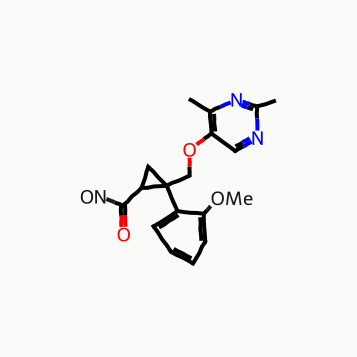 COc1ccccc1C1(COc2cnc(C)nc2C)CC1C(=O)N=O